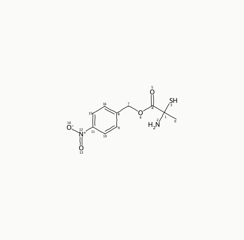 CC(N)(S)C(=O)OCc1ccc([N+](=O)[O-])cc1